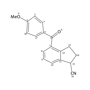 COc1ccc(C(=O)c2cccc3c2CCC3C#N)cc1